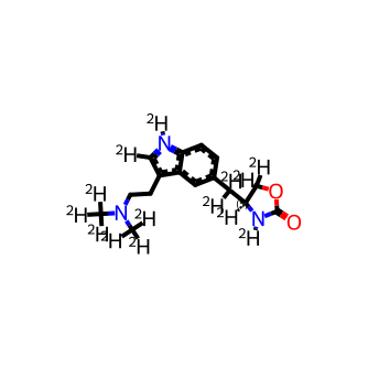 [2H]c1c(CCN(C([2H])([2H])[2H])C([2H])([2H])[2H])c2cc(C([2H])([2H])[C@]3([2H])N([2H])C(=O)OC3([2H])[2H])ccc2n1[2H]